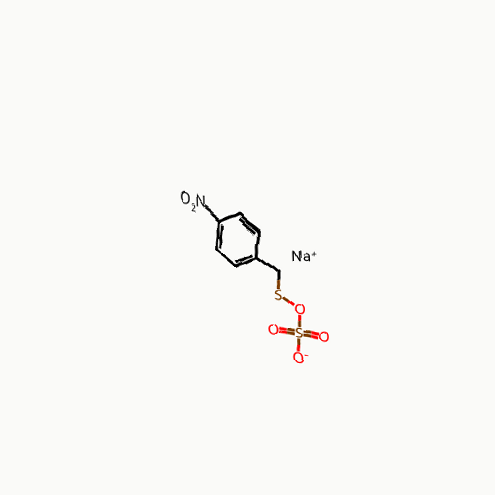 O=[N+]([O-])c1ccc(CSOS(=O)(=O)[O-])cc1.[Na+]